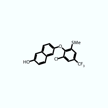 CSc1cc(C(F)(F)F)cc(Cl)c1Oc1ccc2cc(O)ccc2c1